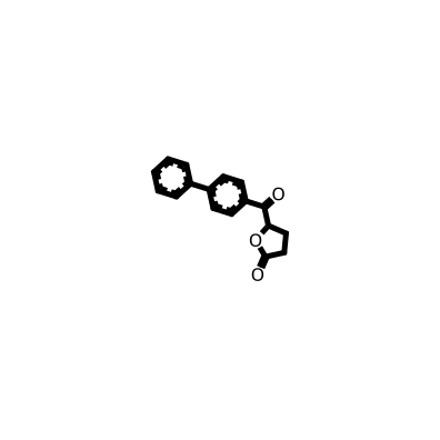 O=C1CCC(C(=O)c2ccc(-c3ccccc3)cc2)O1